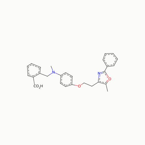 Cc1oc(-c2ccccc2)nc1CCOc1ccc(N(C)Cc2ccccc2C(=O)O)cc1